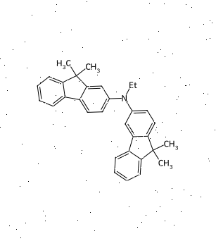 CCN(c1ccc2c(c1)-c1ccccc1C2(C)C)c1ccc2c(c1)C(C)(C)c1ccccc1-2